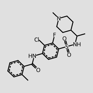 Cc1ccccc1C(=O)Nc1ccc(S(=O)(=O)NC(C)C2CCN(C)CC2)c(F)c1Cl